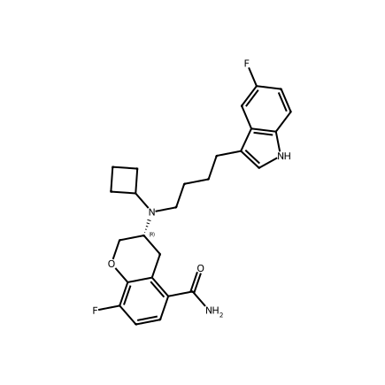 NC(=O)c1ccc(F)c2c1C[C@@H](N(CCCCc1c[nH]c3ccc(F)cc13)C1CCC1)CO2